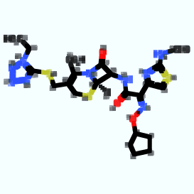 O=CNc1nc(/C(=N/OC2CCCC2)C(=O)NC2C(=O)N3C(C(=O)O)=C(CSc4nnnn4CC(=O)O)CS[C@H]23)cs1